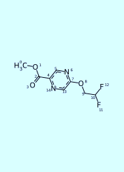 COC(=O)c1cnc(OCC(F)F)cn1